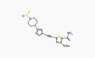 C=C(N)c1sc(C#Cc2cnn(C3CCN([S+](C)[O-])CC3)c2)cc1NC